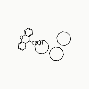 C1CCCCCCCCC1.C1CCCCCCCCC1.C1CCCCCCCCC1.O=C(O)C1c2ccccc2Oc2ccccc21